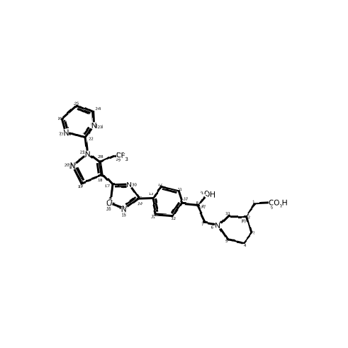 O=C(O)C[C@H]1CCCN(C[C@H](O)c2ccc(-c3noc(-c4cnn(-c5ncccn5)c4C(F)(F)F)n3)cc2)C1